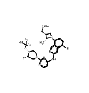 [2H]C([2H])([2H])O[C@@H]1CCN(c2nccc(Nc3cc4c(C(C)C)ccc(N5C[C@H](COC)[C@H]5C)c4cn3)n2)C[C@@H]1F